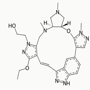 CCOc1nn(CCO)c2c1/C=C/c1n[nH]c3ccc(cc13)-c1cnn(C)c1O[C@H]1CN(C)C[C@@H]1N(C)C2